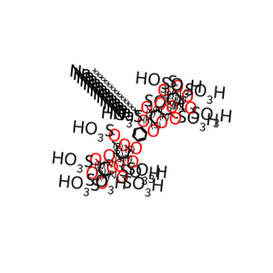 O=S(=O)(O)OC[C@H]1O[C@@H](Oc2cccc(O[C@@H]3O[C@H](COS(=O)(=O)O)[C@@H](O[C@@H]4O[C@H](COS(=O)(=O)O)[C@@H](OS(=O)(=O)O)[C@H](OS(=O)(=O)O)[C@H]4OS(=O)(=O)O)[C@H](OS(=O)(=O)O)[C@H]3OS(=O)(=O)O)c2)[C@H](OS(=O)(=O)O)[C@@H](OS(=O)(=O)O)[C@@H]1O[C@@H]1O[C@H](COS(=O)(=O)O)[C@@H](OS(=O)(=O)O)[C@H](OS(=O)(=O)O)[C@H]1OS(=O)(=O)O.[Na+].[Na+].[Na+].[Na+].[Na+].[Na+].[Na+].[Na+].[Na+].[Na+].[Na+].[Na+].[Na+].[Na+]